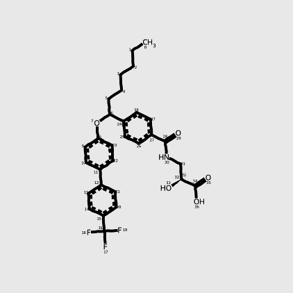 CCCCCCC(Oc1ccc(-c2ccc(C(F)(F)F)cc2)cc1)c1ccc(C(=O)NC[C@H](O)C(=O)O)cc1